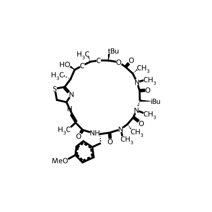 CC[C@H](C)[C@H]1C(=O)N(C)[C@@H](C)C(=O)O[C@H](C(C)(C)C)C[C@@H](C)C[C@H](O)[C@@H](C)C2=N[C@@H](/C=C(\C)C(=O)N[C@@H](Cc3ccc(OC)cc3)C(=O)N(C)[C@@H](C)C(=O)N1C)CS2